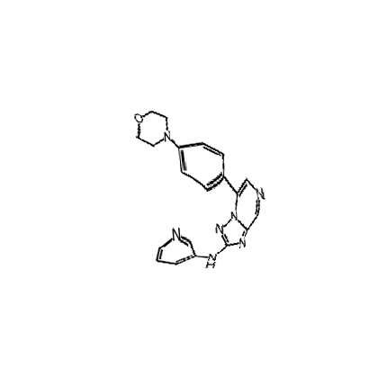 c1cncc(Nc2nc3cncc(-c4ccc(N5CCOCC5)cc4)n3n2)c1